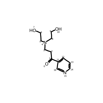 O=C(CCN(CCO)CCO)c1cccnc1